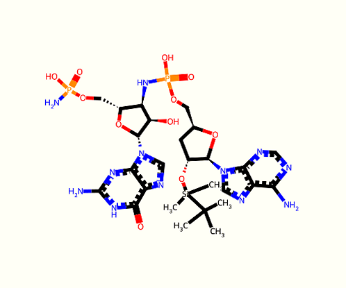 CC(C)(C)[Si](C)(C)O[C@@H]1C[C@@H](COP(=O)(O)N[C@H]2[C@@H](O)[C@H](n3cnc4c(=O)[nH]c(N)nc43)O[C@@H]2COP(N)(=O)O)O[C@H]1n1cnc2c(N)ncnc21